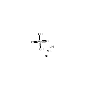 [LiH].[Mn].[Ni].[O]=[Mn](=[O])([OH])[OH]